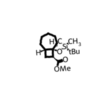 COC(=O)[C@H]1C[C@@H]2CCCCC[C@@]21O[Si](C)(C)C(C)(C)C